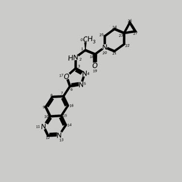 C[C@H](Nc1nnc(-c2ccc3ncncc3c2)o1)C(=O)N1CCC2(CC1)CC2